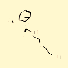 O=C[C@@H]1C2C=CC(O2)[C@@H]1C(=O)NCCOCCO